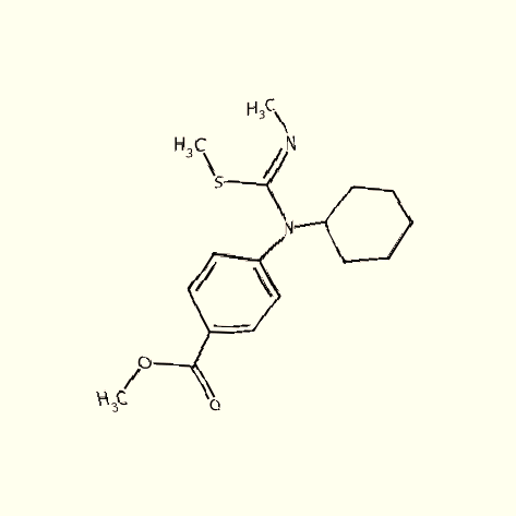 CN=C(SC)N(c1ccc(C(=O)OC)cc1)C1CCCCC1